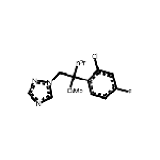 CCCC(Cn1cncn1)(OC)c1ccc(F)cc1Cl